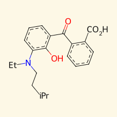 CCN(CCC(C)C)c1cccc(C(=O)c2ccccc2C(=O)O)c1O